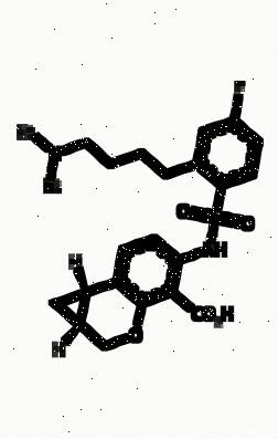 CCN(CC)CCCCc1cc(F)ccc1S(=O)(=O)Nc1ccc2c(c1C(=O)O)OC[C@@H]1C[C@H]21